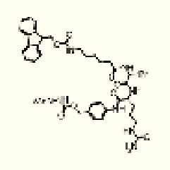 CNNC(=O)OCc1ccc(NC(=O)[C@H](CCCNC(N)=O)NC(=O)[C@@H](NC(=O)CCCCCNC(=O)OCC2c3ccccc3-c3ccccc32)C(C)C)cc1